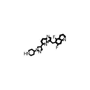 Fc1cc2ncccc2c(F)c1Cc1cnc2ccc(C3C=NN(C4CCNCC4)C3)nn12